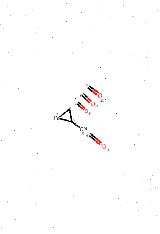 N#C[CH]1[CH2][Fe]1.[C]=O.[C]=O.[C]=O.[C]=O